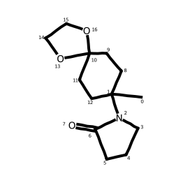 CC1(N2CCCC2=O)CCC2(CC1)OCCO2